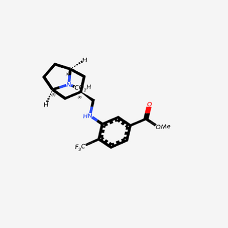 COC(=O)c1ccc(C(F)(F)F)c(NC[C@H]2C[C@H]3CC[C@@H](C2)N3C(=O)O)c1